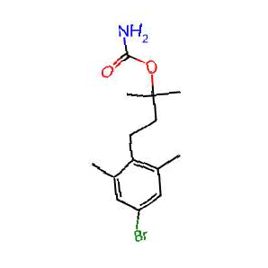 Cc1cc(Br)cc(C)c1CCC(C)(C)OC(N)=O